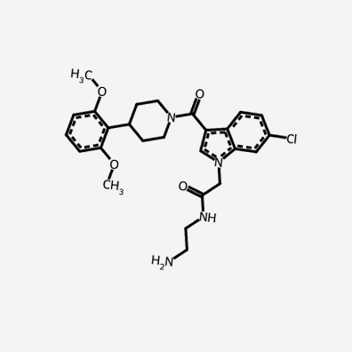 COc1cccc(OC)c1C1CCN(C(=O)c2cn(CC(=O)NCCN)c3cc(Cl)ccc23)CC1